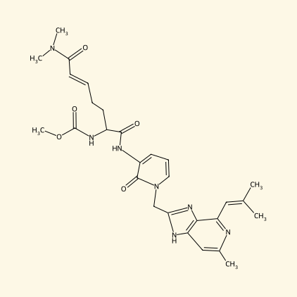 COC(=O)NC(CCC=CC(=O)N(C)C)C(=O)Nc1cccn(Cc2nc3c(C=C(C)C)nc(C)cc3[nH]2)c1=O